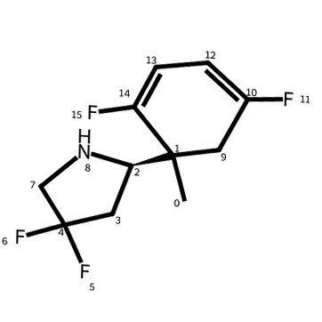 CC1([C@H]2CC(F)(F)CN2)CC(F)=CC=C1F